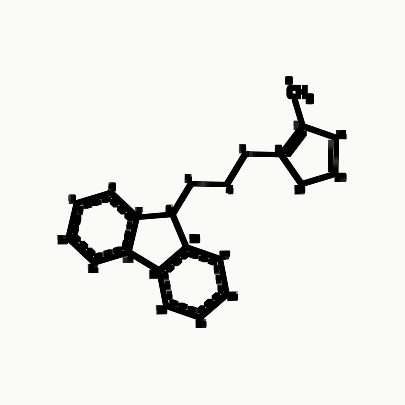 CC1=C(CCCC2c3ccccc3-c3ccccc32)CC=C1